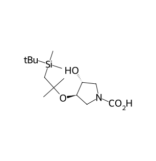 CC(C)(C[Si](C)(C)C(C)(C)C)O[C@@H]1CN(C(=O)O)C[C@H]1O